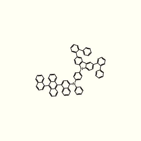 c1ccc(-c2ccccc2-c2ccc3c(c2)c2cc(-c4ccccc4-c4ccccc4)ccc2n3-c2ccc(N(c3ccccc3)c3ccc(-c4c5ccccc5c(-c5cccc6ccccc56)c5ccccc45)c4ccccc34)cc2)cc1